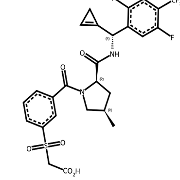 C[C@@H]1C[C@H](C(=O)N[C@H](C2=CC2)c2cc(F)c(C(F)(F)F)cc2F)N(C(=O)c2cccc(S(=O)(=O)CC(=O)O)c2)C1